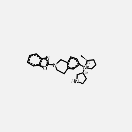 C[C@H]1CCC[N+]1(c1ccc2c(c1)CCN(c1nc3ccccc3o1)C2)[C@H]1CCNC1